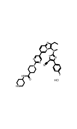 CCc1nc2ccc(-c3cnc(N4CCC(C(=O)NC5CCNCC5)CC4)nc3)cn2c1N(C)c1nc(-c2ccc(F)cc2)c(C#N)s1.Cl